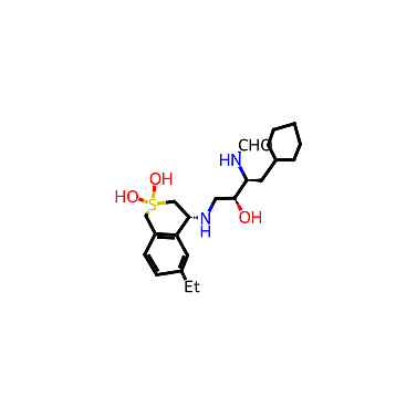 CCc1ccc2c(c1)[C@@H](NC[C@H](O)[C@H](CC1CCCCC1)NC=O)CS(O)(O)C2